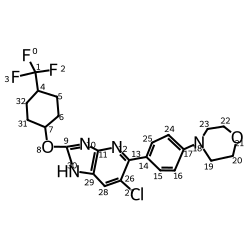 FC(F)(F)C1CCC(Oc2nc3nc(-c4ccc(N5CCOCC5)cc4)c(Cl)cc3[nH]2)CC1